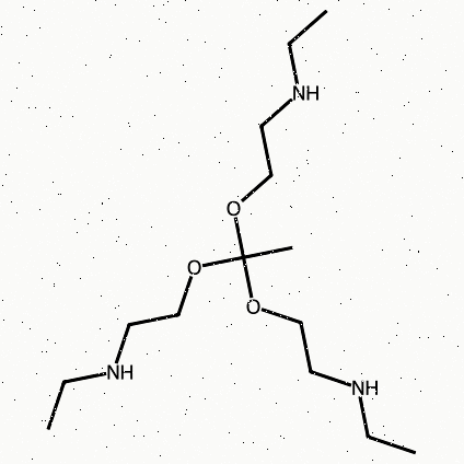 CCNCCOC(C)(OCCNCC)OCCNCC